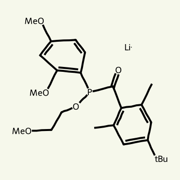 COCCOP(C(=O)c1c(C)cc(C(C)(C)C)cc1C)c1ccc(OC)cc1OC.[Li]